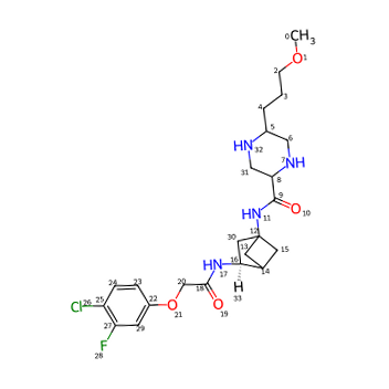 COCCCC1CNC(C(=O)NC23CC(C2)[C@@H](NC(=O)COc2ccc(Cl)c(F)c2)C3)CN1